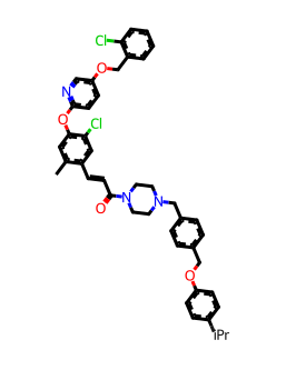 Cc1cc(Oc2ccc(OCc3ccccc3Cl)cn2)c(Cl)cc1C=CC(=O)N1CCN(Cc2ccc(COc3ccc(C(C)C)cc3)cc2)CC1